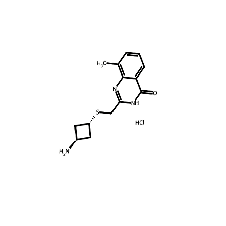 Cc1cccc2c(=O)[nH]c(CS[C@H]3C[C@H](N)C3)nc12.Cl